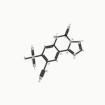 CS(=O)(=O)c1cc2[nH]c(=O)n3ncnc3c2cc1C#N